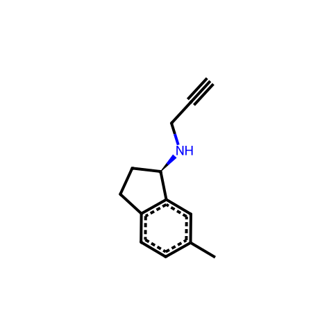 C#CCN[C@@H]1CCc2ccc(C)cc21